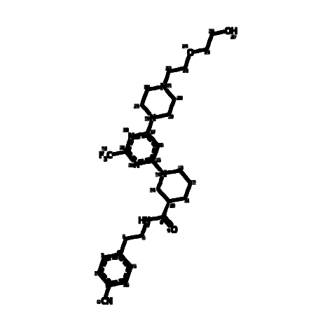 N#Cc1ccc(CCNC(=O)[C@@H]2CCCN(c3cc(N4CCN(CCOCCO)CC4)nc(C(F)(F)F)n3)C2)cc1